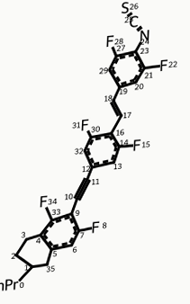 CCCC1CCc2c(cc(F)c(C#Cc3cc(F)c(/C=C/c4cc(F)c(N=C=S)c(F)c4)c(F)c3)c2F)C1